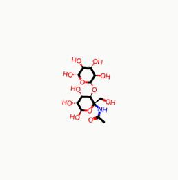 CC(=O)N[C@]1(CO)O[C@@H](O)[C@H](O)[C@H](O)[C@@H]1O[C@@H]1O[C@H](O)[C@@H](O)[C@H](O)[C@H]1O